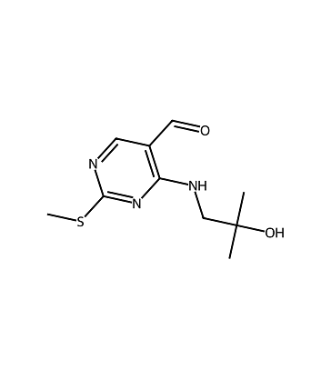 CSc1ncc(C=O)c(NCC(C)(C)O)n1